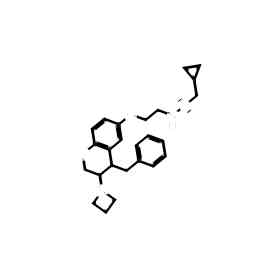 O=S(=O)(CC1CC1)NCCOc1ccc2c(c1)C(Cc1ccccc1)C(N1CCC1)CO2